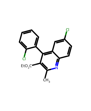 CCOC(=O)c1c(C)nc2ccc(Cl)cc2c1-c1ccccc1Cl